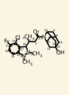 CC(CC(=O)N1C2CC3CC1CC(O)(C3)C2)C1c2c(ccc(F)c2Cl)N(C)N1C